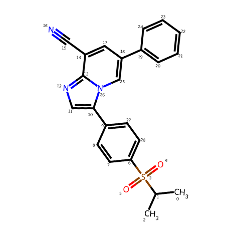 CC(C)S(=O)(=O)c1ccc(-c2cnc3c(C#N)cc(-c4ccccc4)cn23)cc1